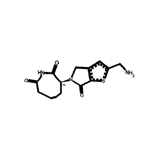 NCc1cc2c(s1)C(=O)N([C@H]1CCCC(=O)NC1=O)C2